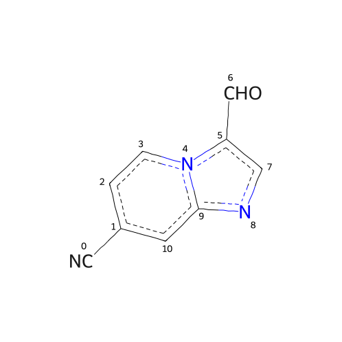 N#Cc1ccn2c(C=O)cnc2c1